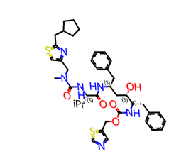 CC(C)[C@H](NC(=O)N(C)Cc1csc(CC2CCCC2)n1)C(=O)N[C@@H](Cc1ccccc1)C[C@H](O)[C@H](Cc1ccccc1)NC(=O)OCc1cncs1